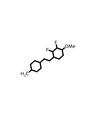 COC1CCC(CCC2CCC(C)CC2)C(F)C1F